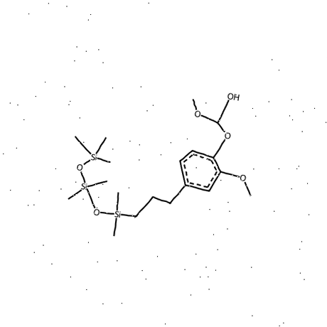 COc1cc(CCC[Si](C)(C)O[Si](C)(C)O[Si](C)(C)C)ccc1OC(O)OC